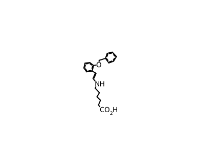 O=C(O)CCCCCNC=Cc1ccccc1OCc1ccccc1